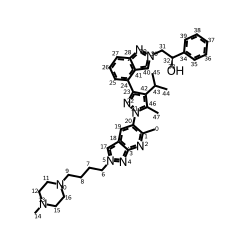 Cc1nc2nn(CCCCN3CCN(C)CC3)cc2cc1-n1nc(-c2cccc3nn(C[C@H](O)c4ccccc4)cc23)c(C(C)C)c1C